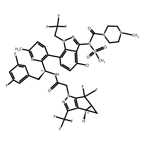 Cc1ccc(-c2ccc(Cl)c3c(N(C(=O)N4CCN(C)CC4)S(C)(=O)=O)nn(CC(F)(F)F)c23)c([C@H](Cc2cc(F)cc(F)c2)NC(=O)Cn2nc(C(F)(F)F)c3c2C(F)(F)C2C[C@H]32)n1